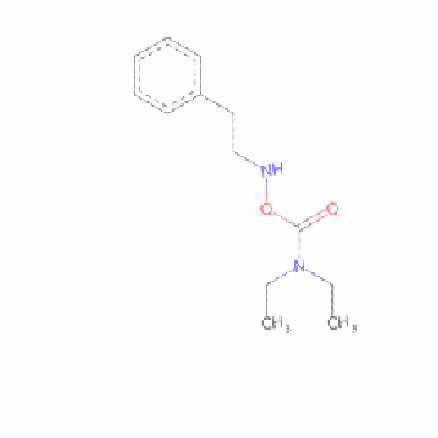 CCN(CC)C(=O)ONCCc1ccccc1